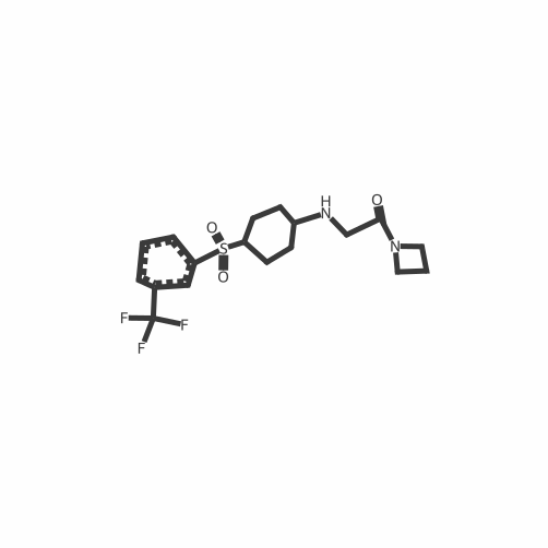 O=C(CNC1CCC(S(=O)(=O)c2cccc(C(F)(F)F)c2)CC1)N1CCC1